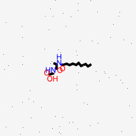 CCCCCCCCCC(=O)NC(C)C(=O)NCC(=O)O